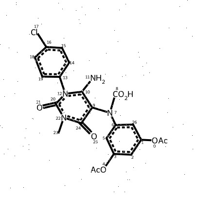 CC(=O)Oc1cc(OC(C)=O)cc(N(C(=O)O)c2c(N)n(-c3ccc(Cl)cc3)c(=O)n(C)c2=O)c1